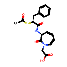 CC(=O)S[C@@H](Cc1ccccc1)C(=O)N[C@H]1C=CC=CN(CC(=O)O)C1=O